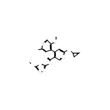 COc1nnc(NC(=O)c2cnc(OC3CC3)cc2-c2cc(Cl)ncc2OC)s1